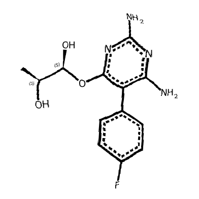 C[C@H](O)[C@@H](O)Oc1nc(N)nc(N)c1-c1ccc(F)cc1